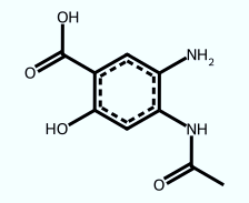 CC(=O)Nc1cc(O)c(C(=O)O)cc1N